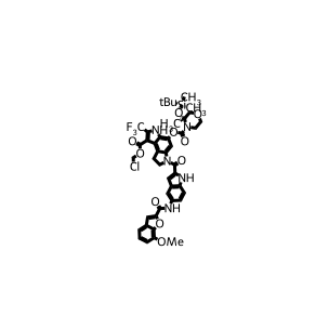 COc1cccc2cc(C(=O)Nc3ccc4[nH]c(C(=O)N5CCc6c5cc(OC(=O)N5CCOC[C@@]5(C)O[Si](C)(C)C(C)(C)C)c5[nH]c(C(F)(F)F)c(C(=O)OCCl)c65)cc4c3)oc12